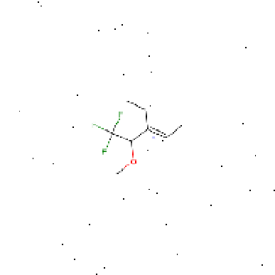 C/C=C(\CC)C(OC)C(F)(F)F